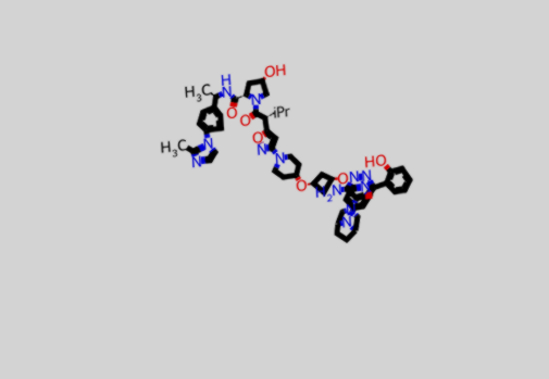 Cc1nccn1-c1ccc([C@H](C)NC(=O)[C@@H]2C[C@@H](O)CN2C(=O)[C@@H](c2cc(N3CCC(O[C@H]4C[C@H](Oc5cc(N6C7CCC6CN(c6cc(-c8ccccc8O)nnc6N)C7)ccn5)C4)CC3)no2)C(C)C)cc1